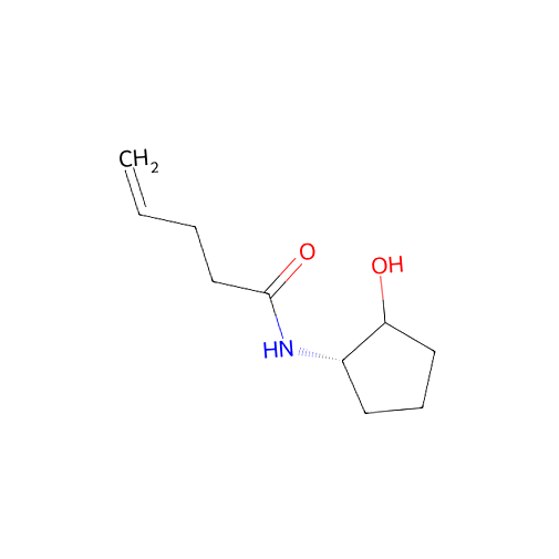 C=CCCC(=O)N[C@H]1CCCC1O